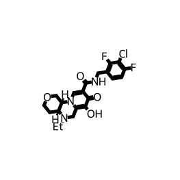 CCN1Cc2c(O)c(=O)c(C(=O)NCc3ccc(F)c(Cl)c3F)cn2[C@H]2COCC[C@H]21